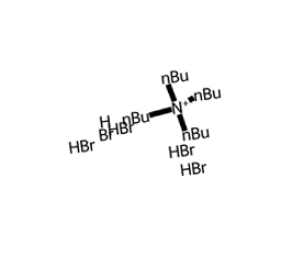 Br.Br.Br.Br.Br.CCCC[N+](CCCC)(CCCC)CCCC